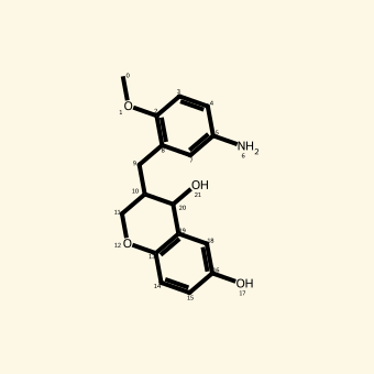 COc1ccc(N)cc1CC1COc2ccc(O)cc2C1O